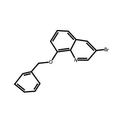 Brc1cnc2c(OCc3ccccc3)cccc2c1